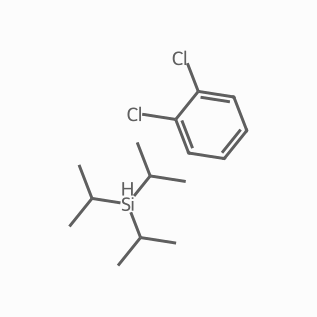 CC(C)[SiH](C(C)C)C(C)C.Clc1ccccc1Cl